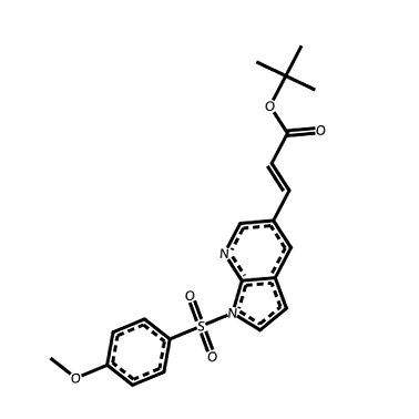 COc1ccc(S(=O)(=O)n2ccc3cc(/C=C/C(=O)OC(C)(C)C)cnc32)cc1